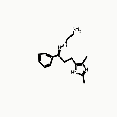 Cc1nc(C)c(CCC(=NOCCN)c2ccccc2)[nH]1